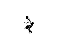 CS(=O)(=O)CCOc1cc(F)cc(F)c1N1CCN(CC2CCCN(c3nc(N)n4nc(-c5ccco5)nc4n3)C2)CC1